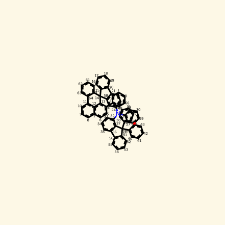 c1ccc(-c2ccc3cccc4c3c2C2(c3ccccc3-c3ccc(N(c5ccccc5)c5cccc6c5C(c5ccccc5)(c5ccccc5)c5ccccc5-6)cc32)c2ccccc2-4)cc1